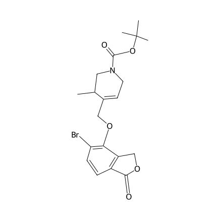 CC1CN(C(=O)OC(C)(C)C)CC=C1COc1c(Br)ccc2c1COC2=O